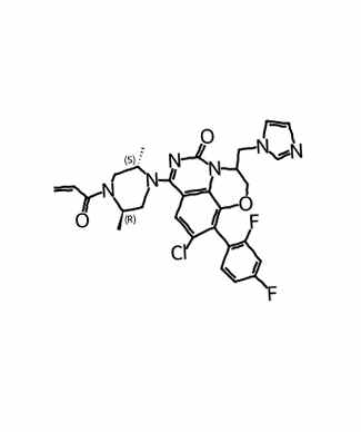 C=CC(=O)N1C[C@H](C)N(c2nc(=O)n3c4c(c(-c5ccc(F)cc5F)c(Cl)cc24)OCC3Cn2ccnc2)C[C@H]1C